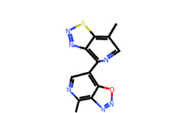 Cc1ncc(-c2ncc(C)c3snnc23)c2onnc12